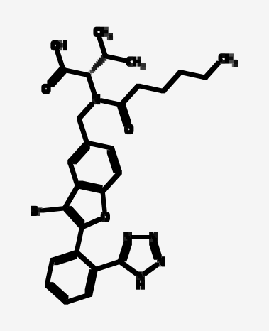 CCCCCC(=O)N(Cc1ccc2oc(-c3ccccc3-c3nnn[nH]3)c(Br)c2c1)[C@H](C(=O)O)C(C)C